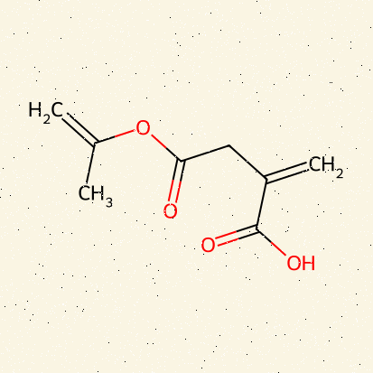 C=C(C)OC(=O)CC(=C)C(=O)O